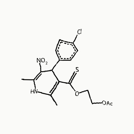 CC(=O)OCCOC(=S)C1=C(C)NC(C)=C([N+](=O)[O-])C1c1ccc(Cl)cc1